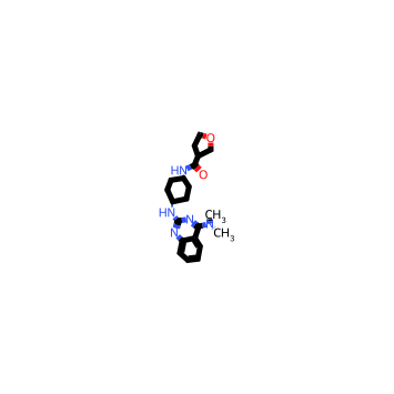 CN(C)c1nc(N[C@H]2CC[C@@H](NC(=O)C3CCOC3)CC2)nc2ccccc12